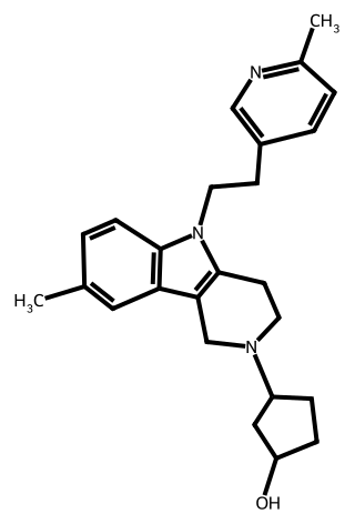 Cc1ccc2c(c1)c1c(n2CCc2ccc(C)nc2)CCN(C2CCC(O)C2)C1